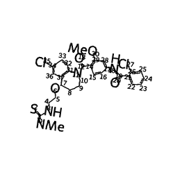 CNC(=S)NCCOC1CCCN(C(=O)c2ccc(NC(=O)c3ccccc3Cl)cc2OC)c2ccc(Cl)cc21